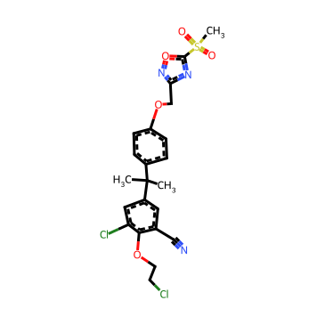 CC(C)(c1ccc(OCc2noc(S(C)(=O)=O)n2)cc1)c1cc(Cl)c(OCCCl)c(C#N)c1